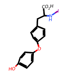 O=C(O)C(Cc1ccc(Oc2ccc(O)cc2)cc1)NI